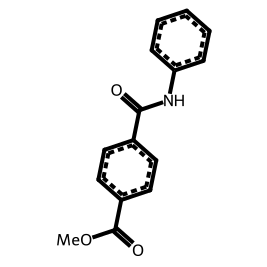 COC(=O)c1ccc(C(=O)Nc2ccccc2)cc1